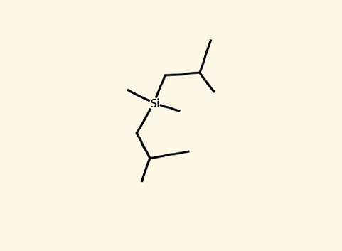 CC(C)C[Si](C)(C)CC(C)C